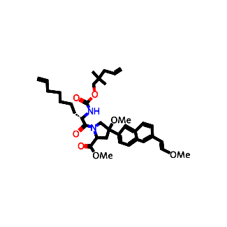 C=CCCCCC[C@H](NC(=O)OCC(C)(C)CC=C)C(=O)N1CC(OC)(c2ccc3cc(C=COC)ccc3c2)CC1C(=O)OC